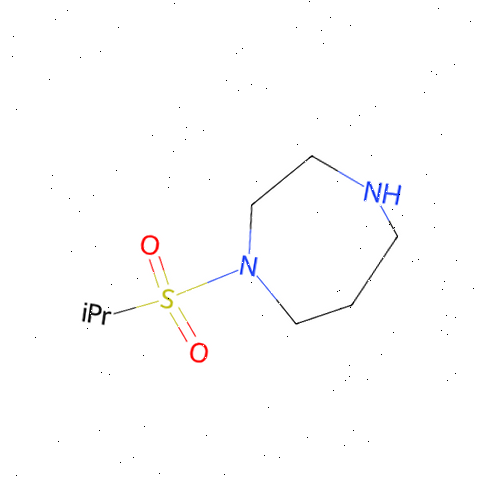 CC(C)S(=O)(=O)N1CCCNCC1